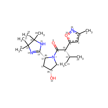 Cc1cc([C@@H](C(=O)N2C[C@H](O)C[C@@H]2C2=NC(C)(C)C(C)(C)N2)C(C)C)on1